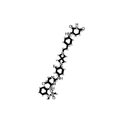 CN(c1ccccc1Nc1nc(Nc2ccc(N3CC4(CN(CCc5ccc(NC6CCC(=O)NC6=O)cc5)C4)C3)c(F)c2)ncc1Cl)S(C)(=O)=O